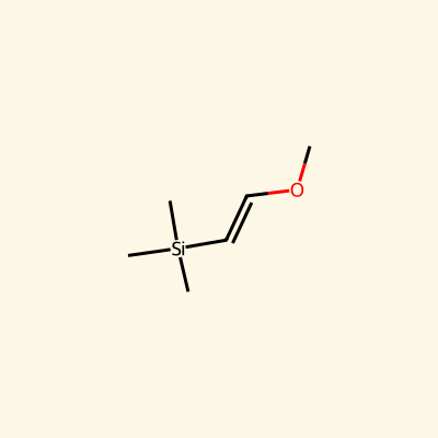 COC=C[Si](C)(C)C